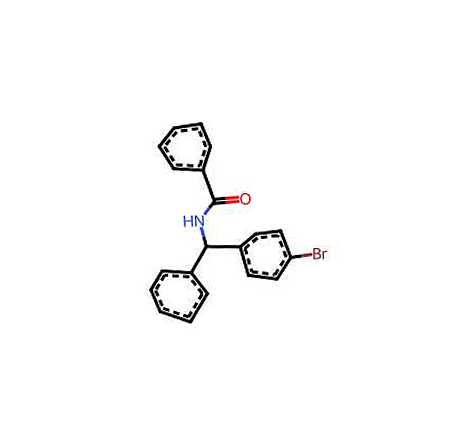 O=C(NC(c1ccccc1)c1ccc(Br)cc1)c1ccccc1